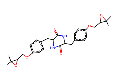 CC1(C)OC1COc1ccc(CC2NC(=O)C(Cc3ccc(OCC4OC4(C)C)cc3)NC2=O)cc1